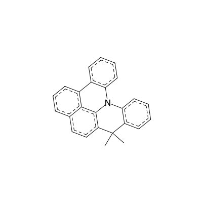 CC1(C)c2ccccc2N2c3ccccc3-c3cccc4ccc1c2c34